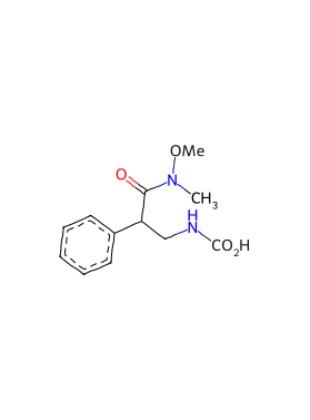 CON(C)C(=O)C(CNC(=O)O)c1ccccc1